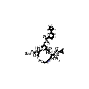 C[C@H]1/C=C\CCCCC[C@H](NC(=O)OC(C)(C)C)C(=O)N2C[C@H](CN(I)C(=O)c3cccc(-c4ccsc4)n3)C[C@H]2C(=O)NC1C(=O)NS(=O)(=O)C1CC1